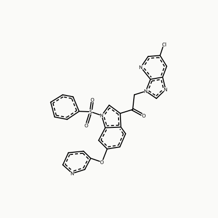 O=C(Cn1cnc2cc(Cl)cnc21)c1cn(S(=O)(=O)c2ccccc2)c2cc(Oc3cccnc3)ccc12